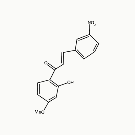 COc1ccc(C(=O)C=Cc2cccc([N+](=O)[O-])c2)c(O)c1